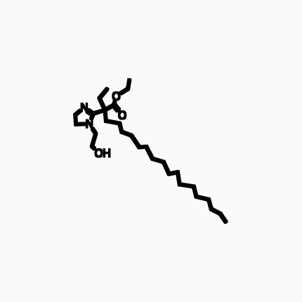 CCCCCCCCCCCCCCCCCC(CC)(C(=O)OCC)C1=NCCN1CCO